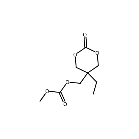 CCC1(COC(=O)OC)COC(=O)OC1